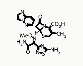 CC1=C(C(=O)O)N2C(=O)C[C@@H]2SC1.CO/N=C(\C(N)=O)c1nsc(N)n1.c1cnn2ccnc2c1